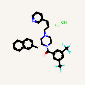 Cl.Cl.O=C(c1cc(C(F)(F)F)cc(C(F)(F)F)c1)N1CCN(C/C=C\c2cccnc2)C[C@H]1Cc1ccc2ccccc2c1